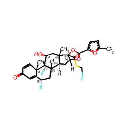 C[C@]12C=CC(=O)C=C1[C@@H](F)C[C@H]1[C@@H]3C[C@H]4OC(c5ccc(C(F)(F)F)o5)O[C@@]4(C(=O)SCF)[C@@]3(C)C[C@H](O)[C@@]12F